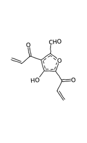 C=CC(=O)c1oc(C=O)c(C(=O)C=C)c1O